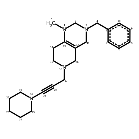 CN1CN(Cc2ccccc2)CC2=C1CCN(CC#CN1CCCCC1)C2